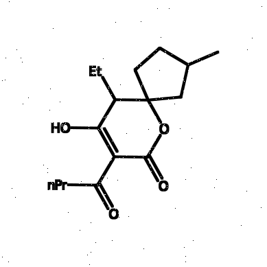 CCCC(=O)C1=C(O)C(CC)C2(CCC(C)C2)OC1=O